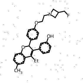 CCC1=C(c2cccc(O)c2)C(c2ccc(OCCN3CC(CF)C3)cc2)Oc2ccc(C)cc21